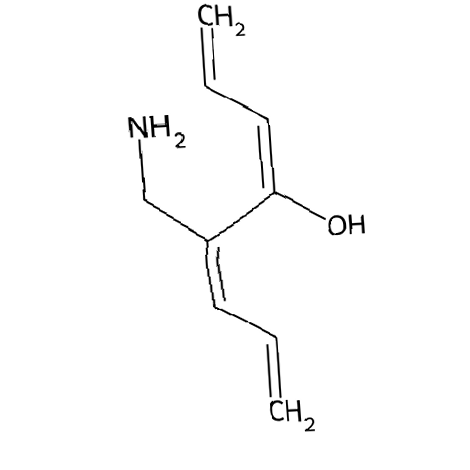 C=C/C=C(CN)\C(O)=C/C=C